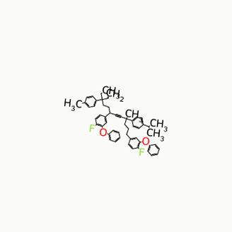 C=CC(CC)(CCC(C#CC(C)(CCCc1ccc(F)c(Oc2ccccc2)c1)c1ccc(C(C)C)cc1)c1ccc(F)c(Oc2ccccc2)c1)c1ccc(C)cc1